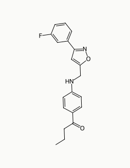 CCCC(=O)c1ccc(NCc2cc(-c3cccc(F)c3)no2)cc1